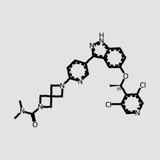 C[C@@H](Oc1ccc2[nH]nc(-c3ccc(N4CC5(CN(C(=O)N(C)C)C5)C4)nc3)c2c1)c1c(Cl)cncc1Cl